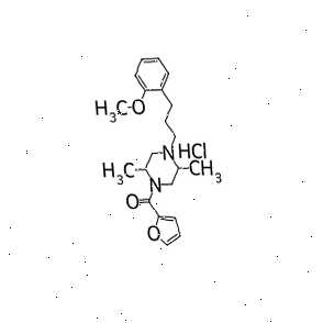 COc1ccccc1CCCN1CC(C)N(C(=O)c2ccco2)CC1C.Cl